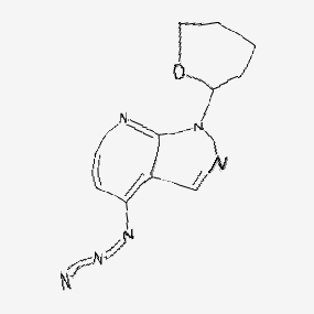 [N-]=[N+]=Nc1ccnc2c1cnn2C1CCCCO1